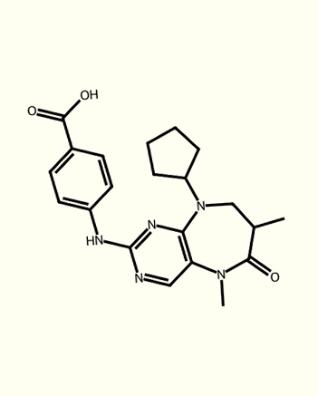 CC1CN(C2CCCC2)c2nc(Nc3ccc(C(=O)O)cc3)ncc2N(C)C1=O